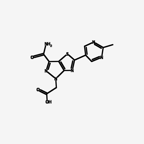 Cc1ncc(-c2nc3c(s2)c(C(N)=O)nn3CC(=O)O)cn1